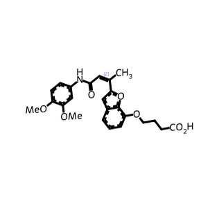 COc1ccc(NC(=O)/C=C(/C)c2cc3cccc(OCCCC(=O)O)c3o2)cc1OC